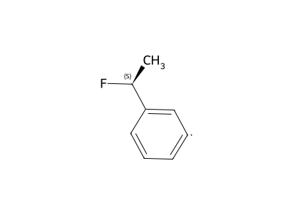 C[C@H](F)c1c[c]ccc1